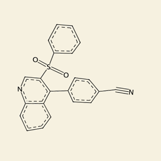 N#Cc1ccc(-c2c(S(=O)(=O)c3ccccc3)cnc3ccccc23)cc1